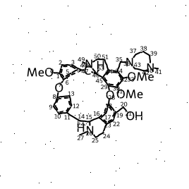 COc1ccc2cc1Oc1ccc(cc1)C[C@H]1c3cc(c(CO)cc3CCN1C)Oc1c(OC)c(OC)c(CN3CCCN(C)CC3)c3c1[C@H](C2)N(C)CC3